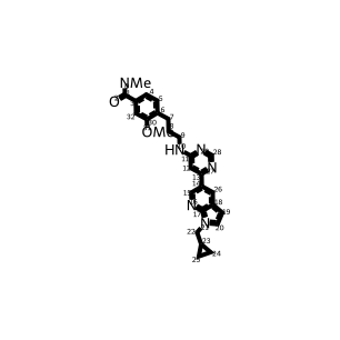 CNC(=O)c1ccc(CCCNc2cc(-c3cnc4c(ccn4CC4CC4)c3)ncn2)c(OC)c1